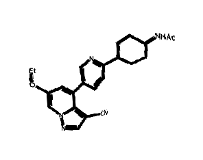 CCOc1cc(-c2ccc(C3CCC(NC(C)=O)CC3)nc2)c2c(C#N)cnn2c1